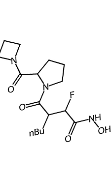 CCCCC(C(=O)N1CCCC1C(=O)N1CCC1)C(F)C(=O)NO